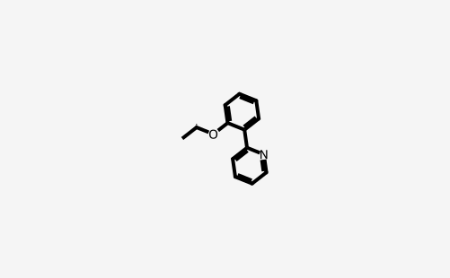 C[CH]Oc1ccccc1-c1ccccn1